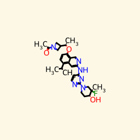 CC(=O)N1CC([C@H](C)Oc2ccc(C(C)C)c3cc(Nc4ccnc(N5CC[C@@H](O)[C@@](C)(F)C5)n4)ncc23)C1